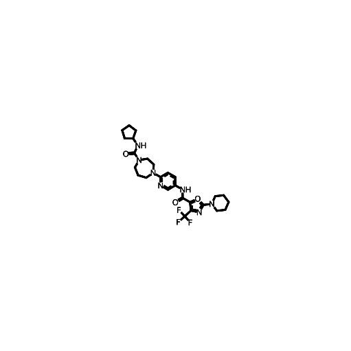 O=C(Nc1ccc(N2CCCN(C(=O)NC3CCCC3)CC2)nc1)c1oc(N2CCCCC2)nc1C(F)(F)F